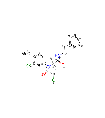 COc1ccc(N(C(=O)CCl)C(C)(C)C(=O)NCCc2ccccc2)cc1Cl